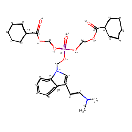 CN(C)CCc1cn(COP(=O)(OCOC(=O)C2CCCCC2)OCOC(=O)C2CCCCC2)c2ccccc12